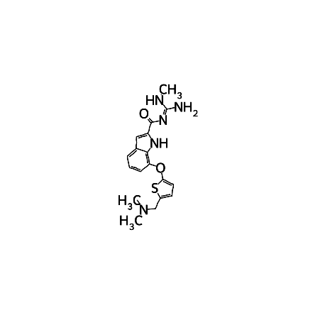 CNC(N)=NC(=O)c1cc2cccc(Oc3ccc(CN(C)C)s3)c2[nH]1